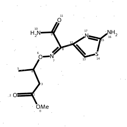 COC(=O)CC(C)ON=C(C(N)=O)c1csc(N)n1